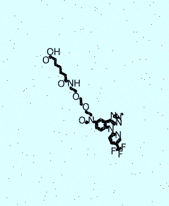 Cn1nc2c3cc(N(C=O)CCOCCOCCNC(=O)CCCCCC(=O)O)ccc3n(-c3ccc(C(F)(F)F)cn3)c2n1